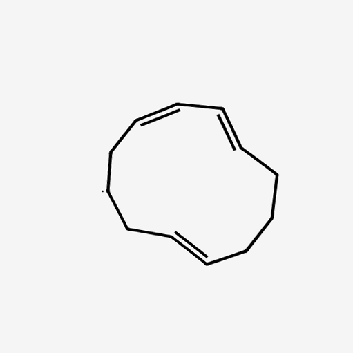 [CH]1C/C=C\C=C\CCC/C=C/C1